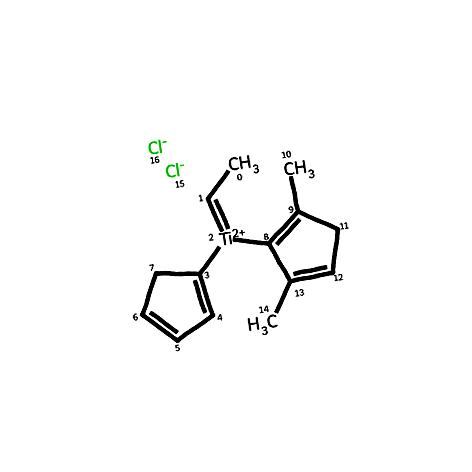 C[CH]=[Ti+2]([C]1=CC=CC1)[C]1=C(C)CC=C1C.[Cl-].[Cl-]